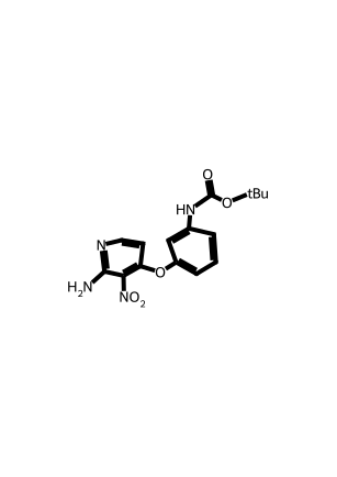 CC(C)(C)OC(=O)Nc1cccc(Oc2ccnc(N)c2[N+](=O)[O-])c1